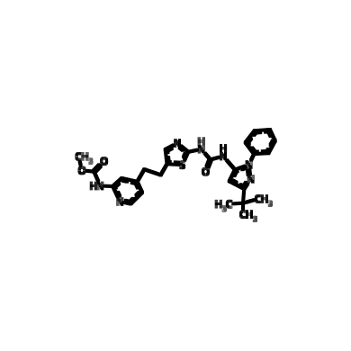 COC(=O)Nc1cc(CCc2cnc(NC(=O)Nc3cc(C(C)(C)C)nn3-c3ccccc3)s2)ccn1